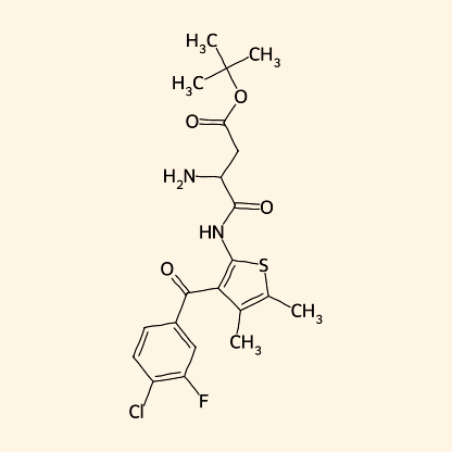 Cc1sc(NC(=O)C(N)CC(=O)OC(C)(C)C)c(C(=O)c2ccc(Cl)c(F)c2)c1C